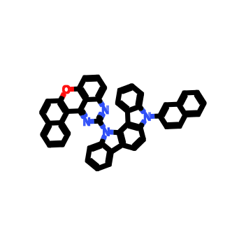 c1ccc2cc(-n3c4ccccc4c4c3ccc3c5ccccc5n(-c5nc6c7c(cccc7n5)Oc5ccc7ccccc7c5-6)c34)ccc2c1